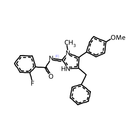 COc1ccc(-c2c(Cc3ccccc3)[nH]/c(=N\C(=O)c3ccccc3F)n2C)cc1